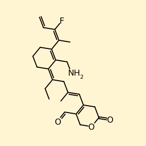 C=C/C(F)=C(/C)C1=C(CN)/C(=C(/CC)C/C(C)=C/C2=C(C=O)COC(=O)C2)CCC1